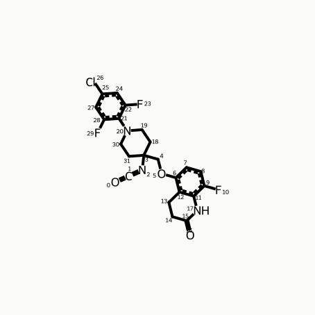 O=C=NC1(COc2ccc(F)c3c2CCC(=O)N3)CCN(c2c(F)cc(Cl)cc2F)CC1